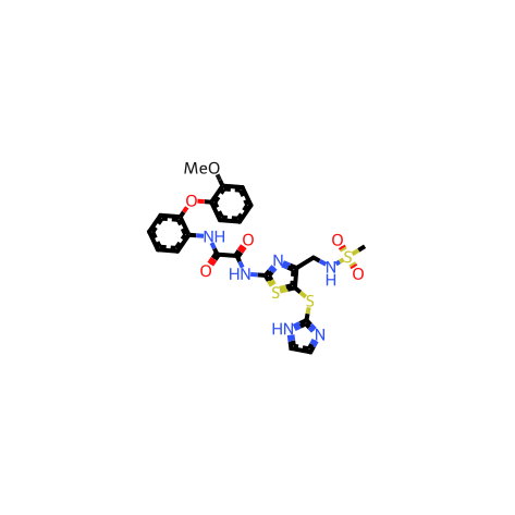 COc1ccccc1Oc1ccccc1NC(=O)C(=O)Nc1nc(CNS(C)(=O)=O)c(Sc2ncc[nH]2)s1